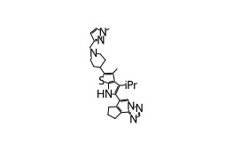 Cc1c(C2CCN(Cc3ccn(C)n3)CC2)sc2[nH]c(-c3cn4ncnc4c4c3CCC4)c(C(C)C)c12